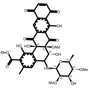 COC(=O)c1c(C)cc2c(c1O)[C@]1(O)C(=O)c3cc4c(c(O)c3C(=O)[C@]1(OC)[C@H](O)C2N[C@H]1O[C@@H](C)[C@H](OC)[C@@H](O)[C@H]1OC)C(=O)C=CC4=O